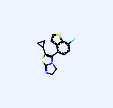 Fc1ccc(C2=C(C3CC3)SC3=NCCN32)c2ccsc12